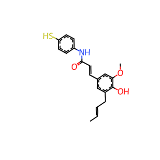 C/C=C/Cc1cc(/C=C/C(=O)Nc2ccc(S)cc2)cc(OC)c1O